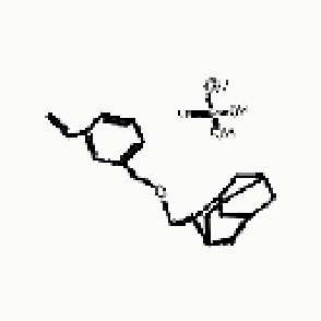 C=Cc1cccc(COC=C2C3CC4CC(C3)CC2C4)c1.O=P(O)(O)O